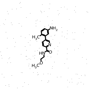 COCCNC(=O)c1ccc(-c2cc(N)ccc2C)cn1